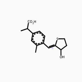 Cc1cc(C(C)C(=O)O)ccc1/C=C1\SCCC1O